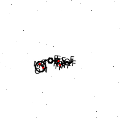 FC(F)=C(F)OC(F)(F)C(F)(OC(F)(F)C(F)(F)c1ccc(CN2CCN3CCOCCN(CCOCC3)CC2)cc1)C(F)(F)F